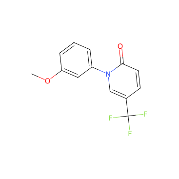 COc1cccc(-n2cc(C(F)(F)F)ccc2=O)c1